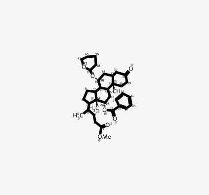 COC(=O)CCC(C)C1CCC2C3C(C[C@H](OC(=O)c4ccccc4)[C@]12C)[C@@]1(C)CCC(=O)CC1C[C@H]3OC1CCCCO1